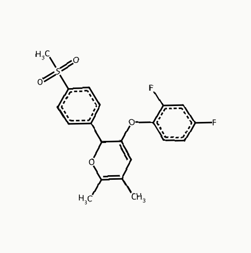 CC1=C(C)OC(c2ccc(S(C)(=O)=O)cc2)C(Oc2ccc(F)cc2F)=C1